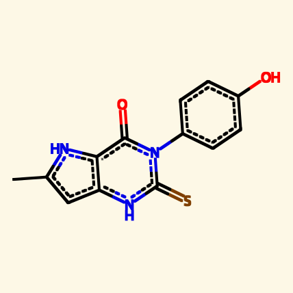 Cc1cc2[nH]c(=S)n(-c3ccc(O)cc3)c(=O)c2[nH]1